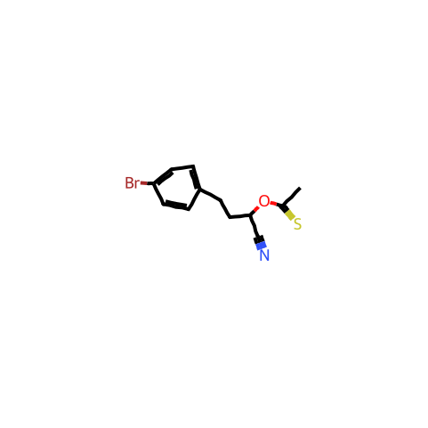 CC(=S)OC(C#N)CCc1ccc(Br)cc1